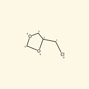 ClCC1CO[CH]O1